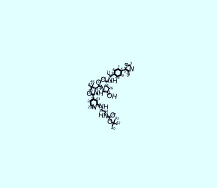 Cc1ncsc1-c1ccc([C@H](C)NC(=O)[C@@H]2C[C@@H](O)CN2C(=O)[C@@H](NC(=O)c2ccnc(NCCNC(=O)OC(C)(C)C)c2)C(C)(C)C)cc1